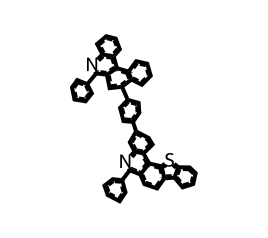 c1ccc(-c2nc3ccccc3c3c2cc(-c2ccc(-c4ccc5c(c4)nc(-c4ccccc4)c4ccc6c7ccccc7sc6c45)cc2)c2ccccc23)cc1